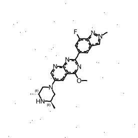 COc1nc(-c2cc(F)c3nn(C)cc3c2)nc2ncc(N3C[C@@H](C)N[C@H](C)C3)cc12